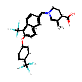 CC1CN(Cc2ccc3c(C(F)(F)F)c(OC4CCC(C(F)(F)F)CC4)ccc3c2)CCC1C(=O)O